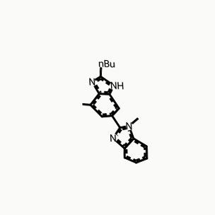 CCCCc1nc2c(C)cc(-c3nc4ccccc4n3C)cc2[nH]1